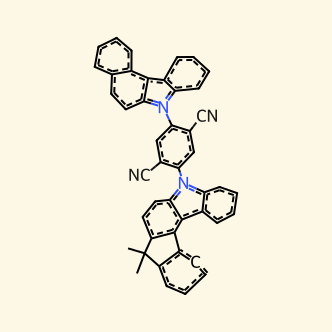 CC1(C)c2ccccc2-c2c1ccc1c2c2ccccc2n1-c1cc(C#N)c(-n2c3ccccc3c3c4ccccc4ccc32)cc1C#N